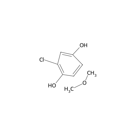 COC.Oc1ccc(O)c(Cl)c1